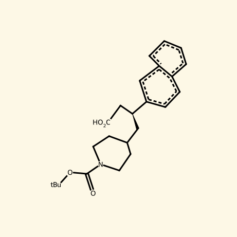 CC(C)(C)OC(=O)N1CCC(C[C@@H](CC(=O)O)c2ccc3ccccc3c2)CC1